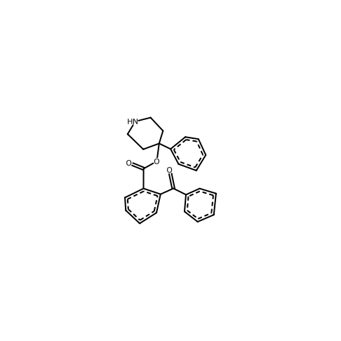 O=C(OC1(c2ccccc2)CCNCC1)c1ccccc1C(=O)c1ccccc1